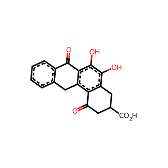 O=C1c2ccccc2Cc2c1c(O)c(O)c1c2C(=O)CC(C(=O)O)C1